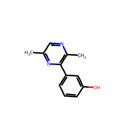 Cc1cnc(C)c(-c2cccc(O)c2)n1